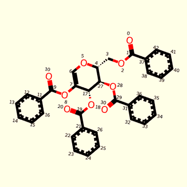 O=C(OC[C@H]1OC=C(OC(=O)c2ccccc2)[C@@H](OC(=O)c2ccccc2)[C@@H]1OC(=O)c1ccccc1)c1ccccc1